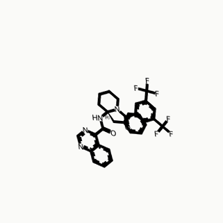 O=C(N[C@]1(Cc2ccccc2)CCCCN1C(=O)c1cc(C(F)(F)F)cc(C(F)(F)F)c1)c1ncnc2ccccc12